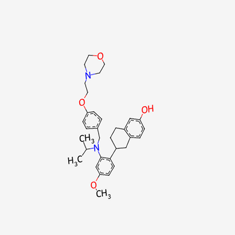 COc1ccc(C2CCc3cc(O)ccc3C2)c(N(Cc2ccc(OCCN3CCOCC3)cc2)C(C)C)c1